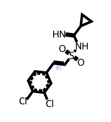 N=C(NS(=O)(=O)/C=C/c1ccc(Cl)c(Cl)c1)C1CC1